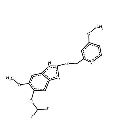 COc1ccnc(CSc2nc3cc(OC(F)F)c(OC)cc3[nH]2)c1